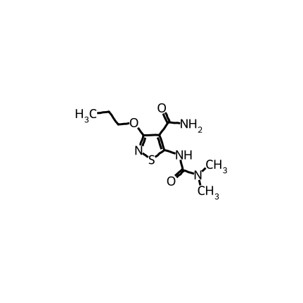 CCCOc1nsc(NC(=O)N(C)C)c1C(N)=O